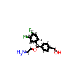 NCCOB(c1ccc(CO)cc1)c1ccc(F)c(F)c1